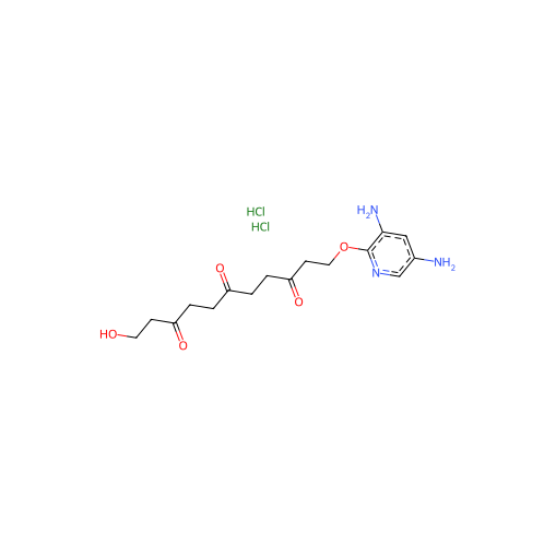 Cl.Cl.Nc1cnc(OCCC(=O)CCC(=O)CCC(=O)CCO)c(N)c1